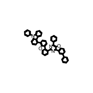 c1ccc(-c2ccc3oc4c(-c5ccccc5)nc(-c5cccc6oc7c(-c8cccc9c8c8ccccc8n9-c8ccccc8)cccc7c56)nc4c3c2)cc1